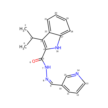 CC(C)c1c(C(=O)N/N=C\c2cccnc2)[nH]c2ccccc12